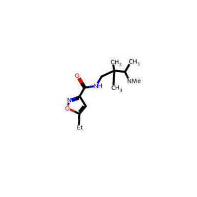 CCc1cc(C(=O)NCC(C)(C)C(C)NC)no1